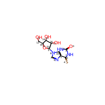 O=c1[nH]c(=S)c2ncn([C@H]3O[C@@H](CO)C(O)C3O)c2[nH]1